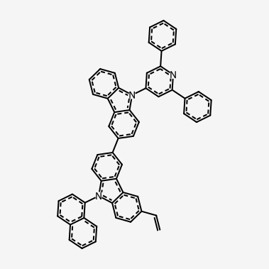 C=Cc1ccc2c(c1)c1cc(-c3ccc4c(c3)c3ccccc3n4-c3cc(-c4ccccc4)nc(-c4ccccc4)c3)ccc1n2-c1cccc2ccccc12